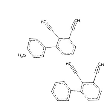 C#Cc1cccc(-c2ccccc2)c1C#C.C#Cc1cccc(-c2ccccc2)c1C#C.O